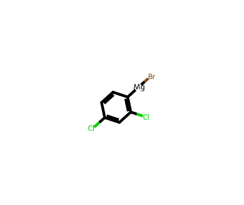 Clc1cc[c]([Mg][Br])c(Cl)c1